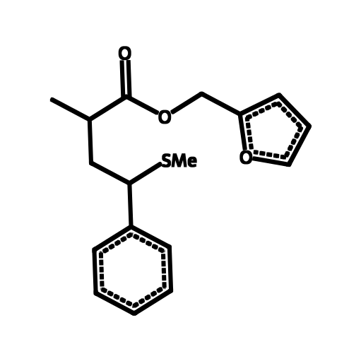 CSC(CC(C)C(=O)OCc1ccco1)c1ccccc1